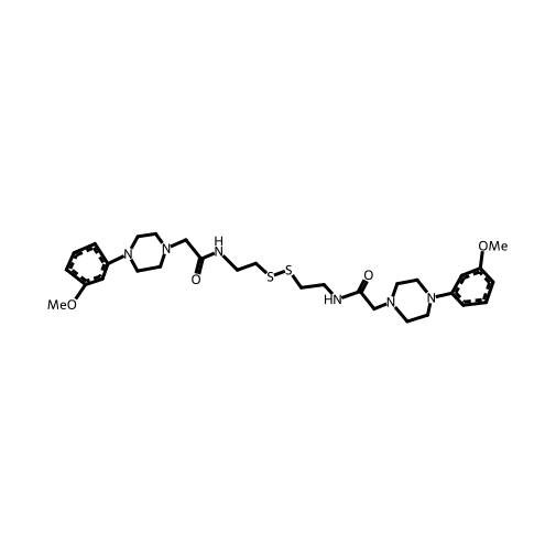 COc1cccc(N2CCN(CC(=O)NCCSSCCNC(=O)CN3CCN(c4cccc(OC)c4)CC3)CC2)c1